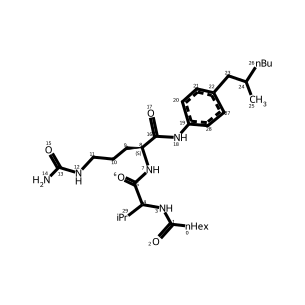 CCCCCCC(=O)NC(C(=O)N[C@@H](CCCNC(N)=O)C(=O)Nc1ccc(CC(C)CCCC)cc1)C(C)C